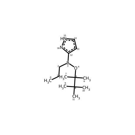 CCCB(OC(C)(C)C(C)(C)C)c1cc[nH]n1